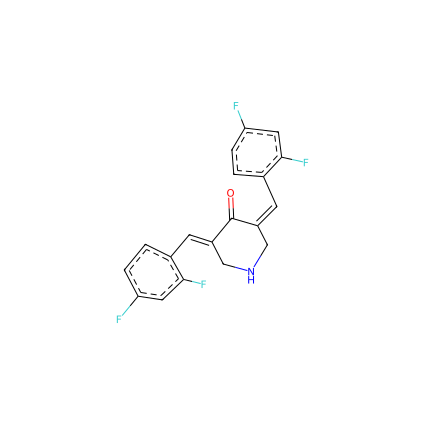 O=C1/C(=C\c2ccc(F)cc2F)CNC/C1=C\c1ccc(F)cc1F